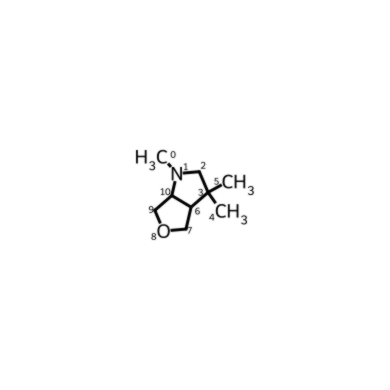 CN1CC(C)(C)C2COCC21